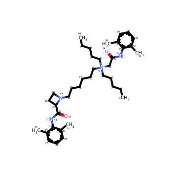 CCCCC[N+](CCCCC)(CCCCCCN1CCC1C(=O)Nc1c(C)cccc1C)CC(=O)Nc1c(C)cccc1C